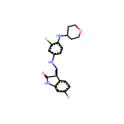 O=C1Nc2cc(F)ccc2C1=CNc1ccc(NC2CCOCC2)c(F)c1